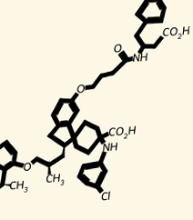 C[C@@H](COc1ccnc2c1[C@H](C)CCC2)C[C@H]1Cc2ccc(OCCCC(=O)NC(CC(=O)O)Cc3ccccc3)cc2C12CCC(Nc1cccc(Cl)c1)(C(=O)O)CC2